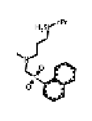 CCC[SiH2]CCCN(C)CS(=O)(=O)c1cccc2ccccc12